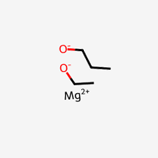 CCC[O-].CC[O-].[Mg+2]